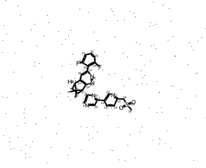 CC1(C)[C@H]2CC[C@]1(c1cncc(-c3ccc(CS(C)(=O)=O)nc3)n1)c1nnc(-c3c(F)cccc3F)cc12